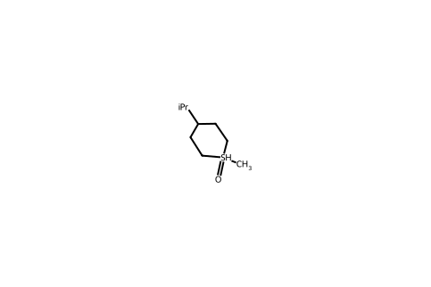 CC(C)C1CC[SH](C)(=O)CC1